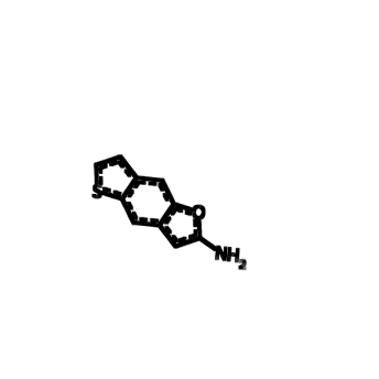 Nc1cc2cc3sccc3cc2o1